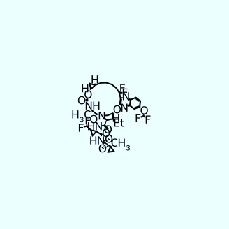 CC[C@@H]1[C@@H]2CN(C(=O)[C@H](C)NC(=O)O[C@@H]3C[C@H]3CCCCC(F)(F)c3nc4ccc(OC(F)F)cc4nc3O2)[C@@H]1C(=O)N[C@]1(C(=O)NS(=O)(=O)C2(C)CC2)CC1C(F)F